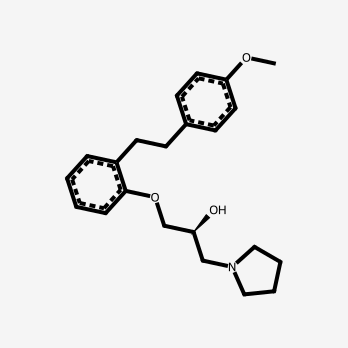 COc1ccc(CCc2ccccc2OC[C@@H](O)CN2CCCC2)cc1